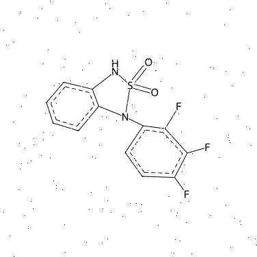 O=S1(=O)Nc2ccccc2N1c1ccc(F)c(F)c1F